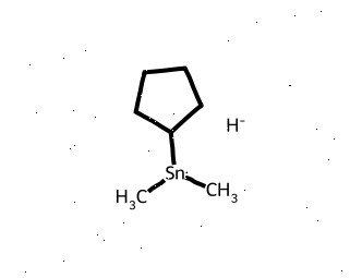 [CH3][Sn]([CH3])[CH]1CCCC1.[H-]